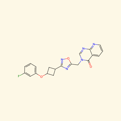 O=c1c2cccnc2ncn1Cc1nc(C2CC(Oc3cccc(F)c3)C2)no1